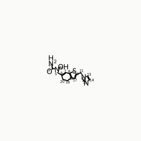 NC(=O)N(O)CC1=Cc2sc(Cn3ccnc3)cc2CC1